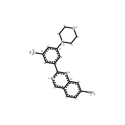 Nc1ccc2cnc(-c3cc(N4CCOCC4)cc(C(F)(F)F)c3)nc2c1